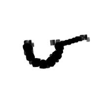 CCCCCCCCCCOc1cc(Cc2ccc(S(=O)(=O)c3ccc(Oc4ccc(-c5ccc(Oc6ccc(S(=O)(=O)c7ccc(C)cc7)cc6)cc5)cc4)cc3)cc2)ccc1C